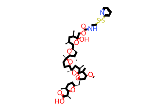 CO[C@@H]1C[C@@H](C[C@H]2CC[C@H](C)C([C@@H](C)C(=O)O)O2)O[C@]2(O[C@@](C)(C3CC[C@@](C)([C@@H]4O[C@@H]([C@@H]5O[C@@](O)(COC(=O)NCCSSc6ccccn6)[C@H](C)C[C@@H]5C)C[C@@H]4C)O3)C[C@H]2C)C1C